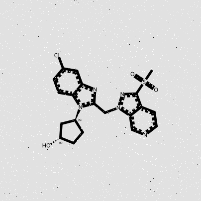 CS(=O)(=O)c1nn(Cc2nc3cc(Cl)ccc3n2[C@H]2CC[C@H](O)C2)c2cnccc12